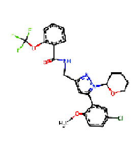 COc1ccc(Cl)cc1-c1cc(CNC(=O)c2ccccc2OC(F)(F)F)nn1C1CCCCO1